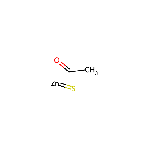 CC=O.[S]=[Zn]